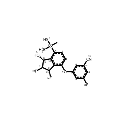 BS(C)(S)c1ccc(Oc2cc(F)cc(C#N)c2)c2c1[C@H](O)C(F)[C@@H]2F